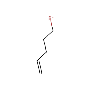 [CH]=CCCCBr